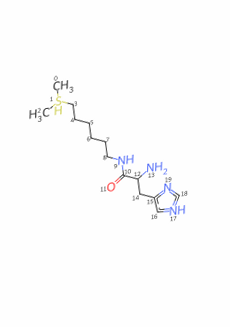 C[SH](C)CCCCCCNC(=O)C(N)Cc1c[nH]cn1